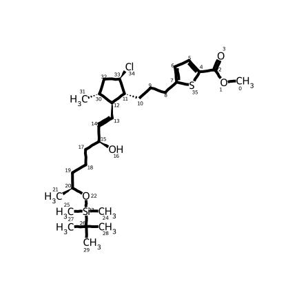 COC(=O)c1ccc(CCC[C@@H]2[C@@H](/C=C/[C@@H](O)CCC[C@H](C)O[Si](C)(C)C(C)(C)C)[C@H](C)C[C@H]2Cl)s1